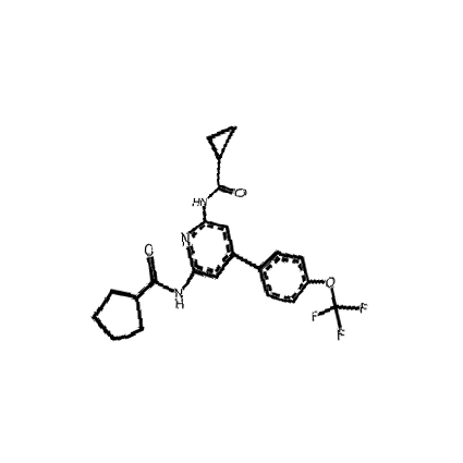 O=C(Nc1cc(-c2ccc(OC(F)(F)F)cc2)cc(NC(=O)C2CC2)n1)C1CCCC1